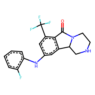 O=C1c2c(cc(Nc3ccccc3F)cc2C(F)(F)F)C2CNCCN12